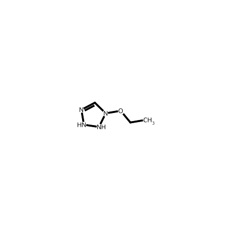 CCON1C=NNN1